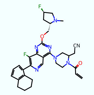 C=CC(=O)N1CCN(c2nc(OC[C@@H]3C[C@@H](F)CN3C)nc3c(F)c(-c4cccc5c4CCCC5)ncc23)CC1CC#N